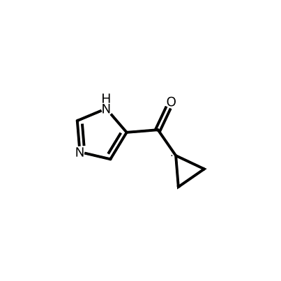 O=C([C]1CC1)c1cnc[nH]1